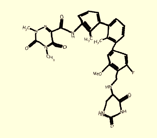 COc1cc(-c2cccc(-c3cccc(NC(=O)c4nn(C)c(=O)n(C)c4=O)c3C)c2C)cc(F)c1CNC1CNC(=O)NC1=O